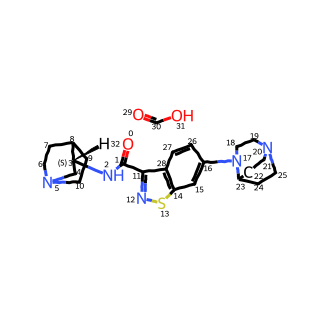 O=C(N[C@@H]1CN2CCC1CC2)c1nsc2cc(N3CCN4CCC3CC4)ccc12.O=CO